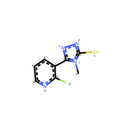 Cn1c(S)nnc1-c1cccnc1F